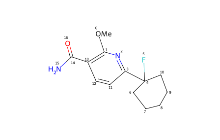 COc1nc(C2(F)CCCCC2)ccc1C(N)=O